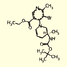 CCOC(=O)c1cnc(C)c(Br)c1N1C=CC[C@](C)(NC(=O)OC(C)(C)C)C1